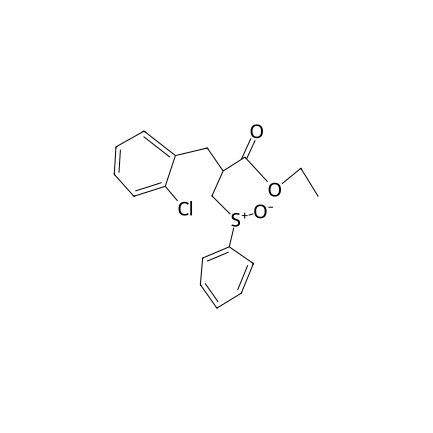 CCOC(=O)C(Cc1ccccc1Cl)C[S+]([O-])c1ccccc1